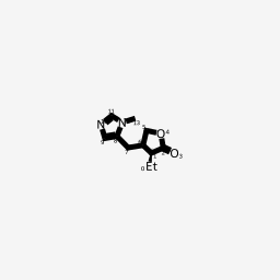 CC[C@@H]1C(=O)OCC1Cc1cncn1C